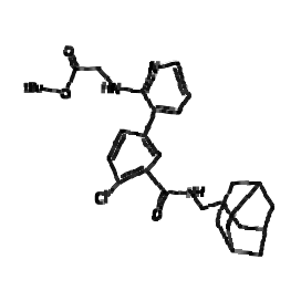 CC(C)(C)OC(=O)CNc1ncccc1-c1ccc(Cl)c(C(=O)NCC23CC4CC(CC(C4)C2)C3)c1